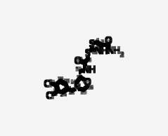 NC(=O)C1=CSC(SCC(=O)NC[C@H]2CN(Cc3ccc(Cl)c(Cl)c3)CCO2)N1